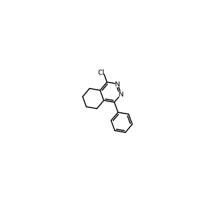 Clc1nnc(-c2ccccc2)c2c1CCCC2